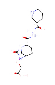 O=C(O)CON1C(=O)N2CC1CC[C@H]2C(=O)NNC(=O)[C@@H]1CCCNC1